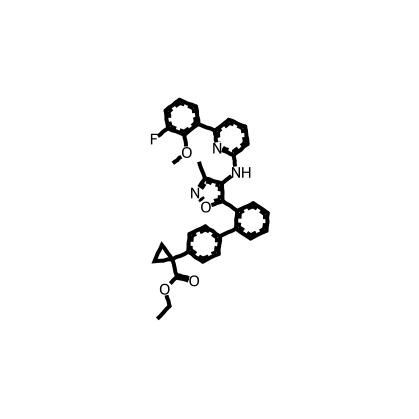 CCOC(=O)C1(c2ccc(-c3ccccc3-c3onc(C)c3Nc3cccc(-c4cccc(F)c4OC)n3)cc2)CC1